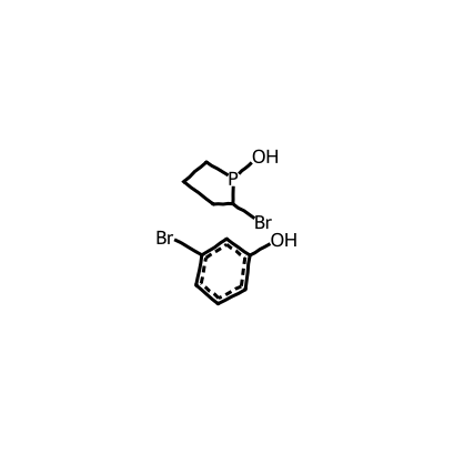 OP1CCCC1Br.Oc1cccc(Br)c1